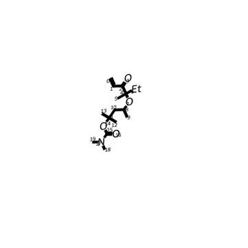 C=CC(=O)C(C)(CC)OC(C)CC(C)(C)OC(=O)N(C)C